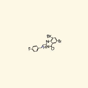 O=c1[nH]c(/C=C/c2ccc(F)cc2)nc2c(Br)cc(Br)cc12